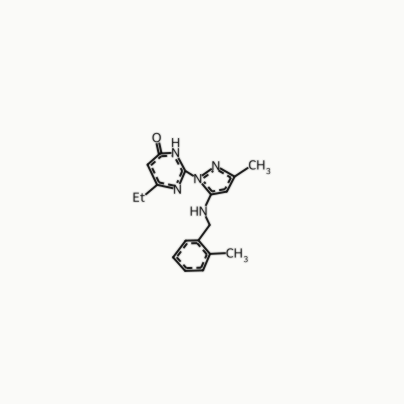 CCc1cc(=O)[nH]c(-n2nc(C)cc2NCc2ccccc2C)n1